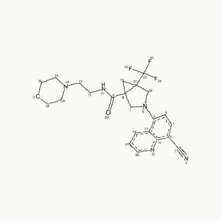 N#Cc1ccc(N2CC3(C(=O)NCCN4CCOCC4)CC3(C(F)(F)F)C2)c2cccnc12